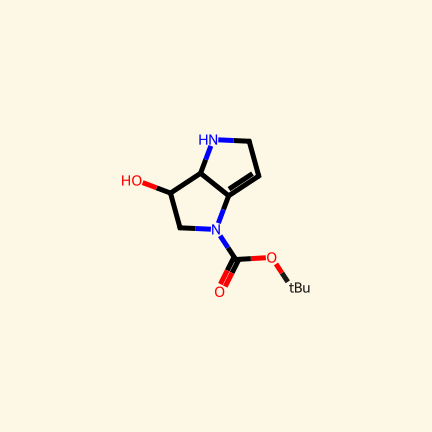 CC(C)(C)OC(=O)N1CC(O)C2NCC=C21